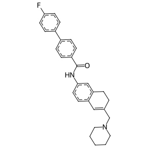 O=C(Nc1ccc2c(c1)CCC(CN1CCCCC1)=C2)c1ccc(-c2ccc(F)cc2)cc1